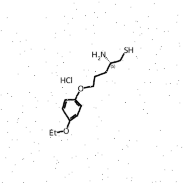 CCOc1ccc(OCCC[C@H](N)CS)cc1.Cl